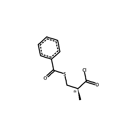 C[C@@H](CSC(=O)c1ccccc1)C(=O)Cl